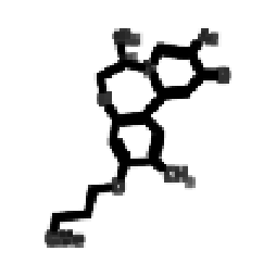 COCCCOc1cc2c(cc1C)-c1cc(=O)c(C(C)=O)cn1[C@H](C(C)(C)C)CO2